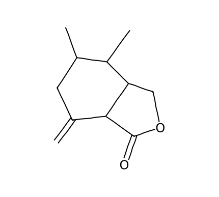 C=C1CC(C)C(C)C2COC(=O)C12